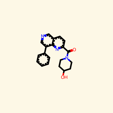 O=C(c1ccc2cncc(-c3ccccc3)c2n1)N1CCC(O)CC1